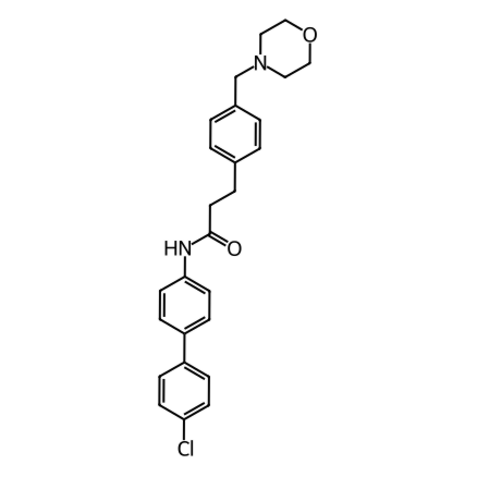 O=C(CCc1ccc(CN2CCOCC2)cc1)Nc1ccc(-c2ccc(Cl)cc2)cc1